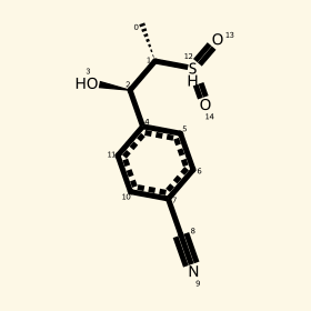 C[C@@H]([C@H](O)c1ccc(C#N)cc1)[SH](=O)=O